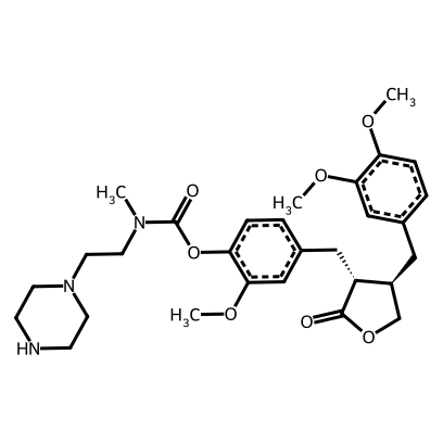 COc1ccc(C[C@H]2COC(=O)[C@@H]2Cc2ccc(OC(=O)N(C)CCN3CCNCC3)c(OC)c2)cc1OC